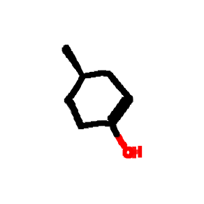 C[C@H]1CC=C(O)CC1